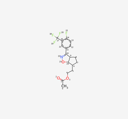 CC(=O)OCCC1CCC2C(c3ccc(F)c(C(F)(F)F)c3)=NOC12